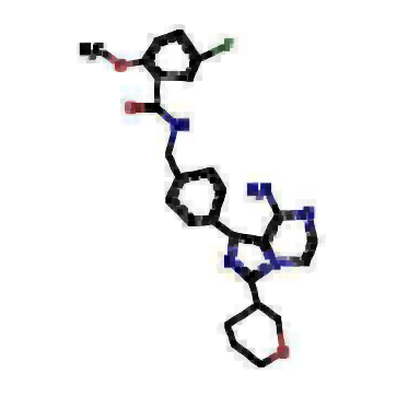 COc1ccc(F)cc1C(=O)NCc1ccc(-c2nc(C3CCCOC3)n3ccnc(N)c23)cc1